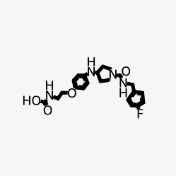 O=C(O)NCCOc1ccc(NC2CCN(C(=O)NCc3ccc(F)cc3)CC2)cc1